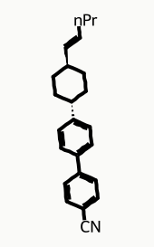 CCCC=C[C@H]1CC[C@H](c2ccc(-c3ccc(C#N)cc3)cc2)CC1